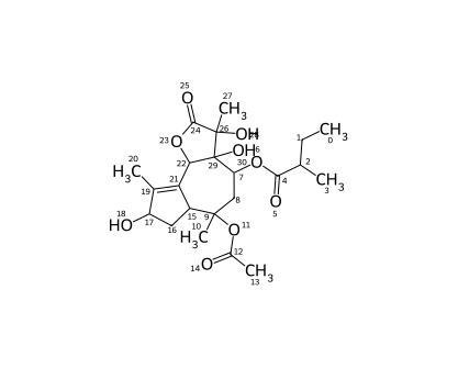 CCC(C)C(=O)OC1CC(C)(OC(C)=O)C2CC(O)C(C)=C2C2OC(=O)C(C)(O)C12O